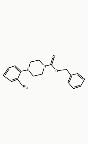 Nc1ccccc1N1CCN(C(=O)OCc2ccccc2)CC1